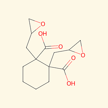 O=C(O)C1(CC2CO2)CCCCC1(CC1CO1)C(=O)O